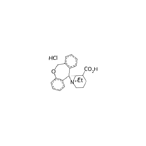 CC[N@@+]12CCCC(C(=O)O)C1[C@]21c2ccccc2COc2ccccc21.Cl